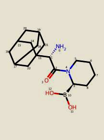 N[C@H](C(=O)N1CCCC[C@H]1B(O)O)C12CC3CC(CC(C3)C1)C2